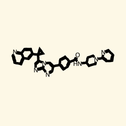 O=C(NC1CCN(c2ccccn2)CC1)c1ccc(-c2cnc3ncc(C4(c5ccc6ncccc6c5)CC4)n3c2)cc1